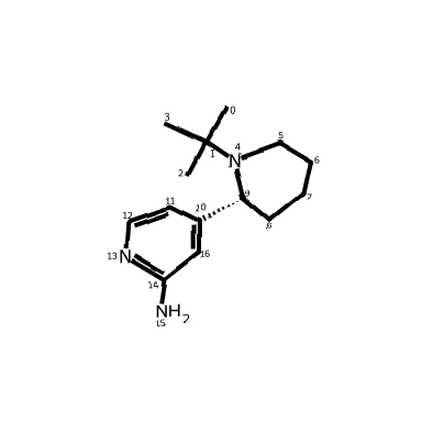 CC(C)(C)N1CCCC[C@@H]1c1ccnc(N)c1